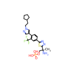 C[C@](N)(COP(=O)(O)O)c1nnc(-c2ccc(-c3cnn(CCC4CCCC4)c3)c(C(F)(F)F)c2)s1